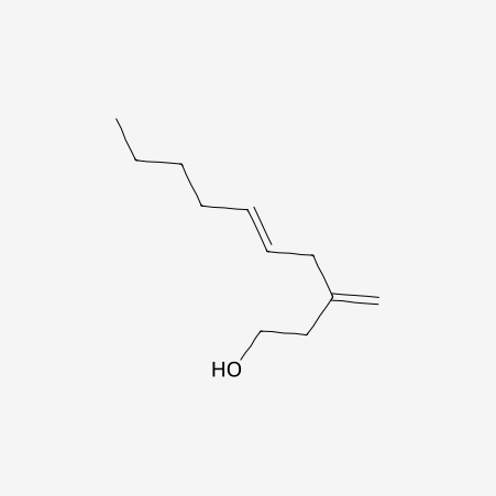 C=C(CC=CCCCC)CCO